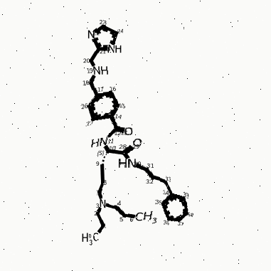 CCCN(CCC)CCC[C@H](NC(=O)c1ccc(CNCc2ncc[nH]2)cc1)C(=O)NCCCc1ccccc1